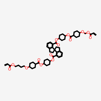 C=CC(=O)OCCCCOC1CCC(C(=O)OC2CCC(OC(=O)c3cccc4c3C3(CC4)CCc4cccc(C(=O)OC5CCC(OC(=O)C6CCC(OCOC(=O)C=C)CC6)CC5)c43)CC2)CC1